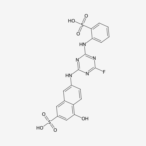 O=S(=O)(O)c1cc(O)c2ccc(Nc3nc(F)nc(Nc4ccccc4S(=O)(=O)O)n3)cc2c1